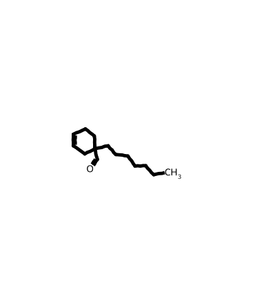 CCCCCCCC1(C=O)CC=CCC1